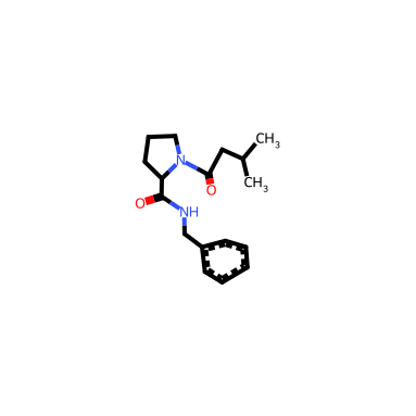 CC(C)CC(=O)N1CCCC1C(=O)NCc1ccccc1